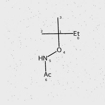 CCC(C)(C)ONC(C)=O